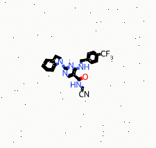 N#CCNC(=O)c1cnc(N2CCc3ccccc32)nc1NCc1ccc(C(F)(F)F)cc1